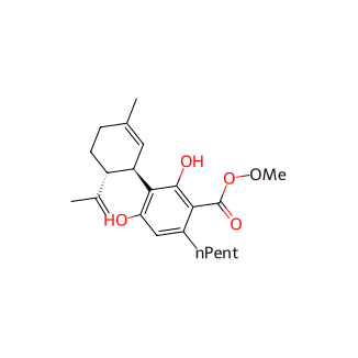 C=C(C)[C@@H]1CCC(C)=C[C@H]1c1c(O)cc(CCCCC)c(C(=O)OOC)c1O